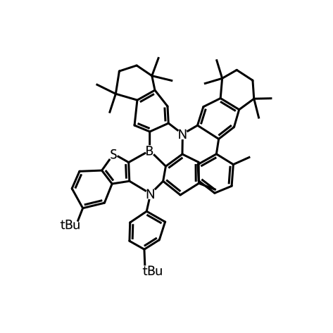 Cc1cc2c3c(c1)N(c1ccc(C(C)(C)C)cc1)c1c(sc4ccc(C(C)(C)C)cc14)B3c1cc3c(cc1N2c1cc2c(cc1-c1ccccc1C)C(C)(C)CCC2(C)C)C(C)(C)CCC3(C)C